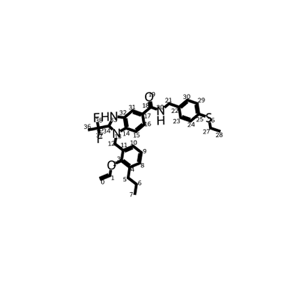 C=COc1c(CCC)cccc1CN1c2ccc(C(=O)NCc3ccc(SCC)cc3)cc2NC1C(C)(F)F